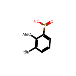 COc1c(S(=O)O)cccc1C(C)(C)C